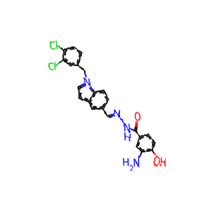 Nc1cc(C(=O)N/N=C/c2ccc3c(ccn3Cc3ccc(Cl)c(Cl)c3)c2)ccc1O